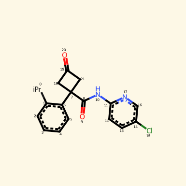 CC(C)c1ccccc1C1(C(=O)Nc2ccc(Cl)cn2)CC(=O)C1